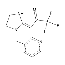 O=C(C=C1NCCN1Cc1cccnc1)C(F)(F)F